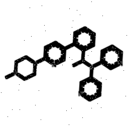 CC(c1ccccc1-c1ccc(N2CCN(C)CC2)nc1)N(c1cccnc1)c1cccnc1